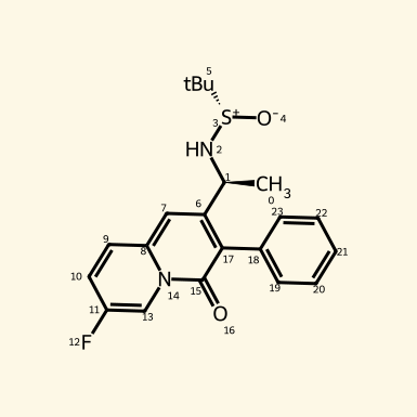 C[C@H](N[S@@+]([O-])C(C)(C)C)c1cc2ccc(F)cn2c(=O)c1-c1ccccc1